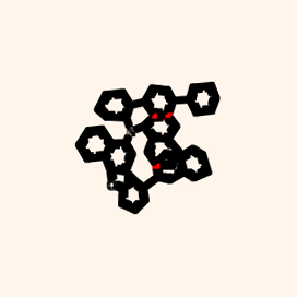 c1ccc(-c2ccc(-c3ccccc3N(c3cccc4ccccc34)c3cc4c(oc5cccc(-c6ccc7ccccc7c6)c54)c4ccccc34)cc2)cc1